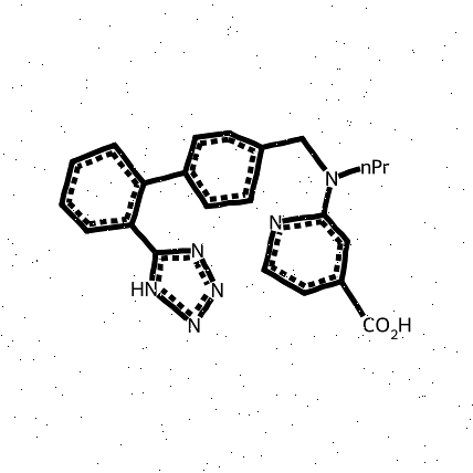 CCCN(Cc1ccc(-c2ccccc2-c2nnn[nH]2)cc1)c1cc(C(=O)O)ccn1